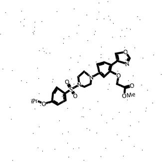 COC(=O)COc1cc(N2CCN(S(=O)(=O)c3ccc(OC(C)C)cc3)CC2)ccc1-c1cocn1